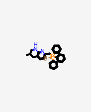 CC1CNc2nc(CP(Br)(c3ccccc3)(c3ccccc3)c3ccccc3)ccc2C1